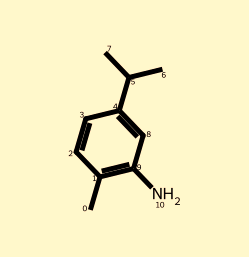 Cc1ccc(C(C)C)cc1N